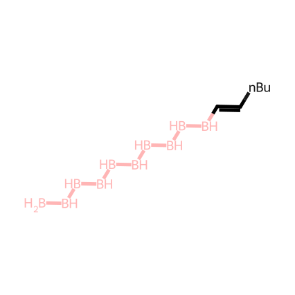 BBBBBBBBBB/C=C/CCCC